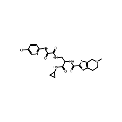 CN1CCc2nc(C(=O)NC(CNC(=O)C(=O)Nc3ccc(Cl)cn3)C(=O)NC3CC3)sc2C1